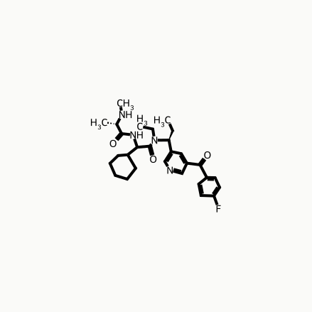 CC[C@@H](c1cncc(C(=O)c2ccc(F)cc2)c1)N(CC)C(=O)C(NC(=O)[C@H](C)NC)C1CCCCC1